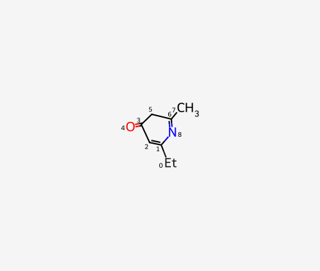 CCC1=CC(=O)CC(C)=N1